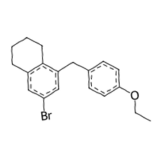 CCOc1ccc(Cc2cc(Br)cc3c2CCCC3)cc1